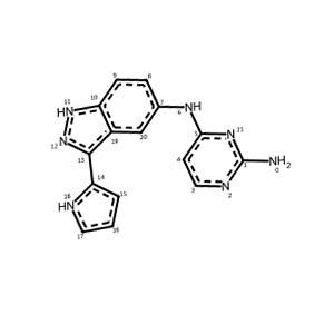 Nc1nccc(Nc2ccc3[nH]nc(-c4ccc[nH]4)c3c2)n1